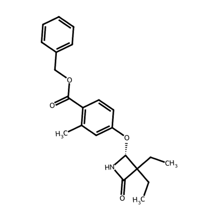 CCC1(CC)C(=O)N[C@@H]1Oc1ccc(C(=O)OCc2ccccc2)c(C)c1